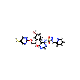 CSc1cnc(OCCOc2ncnc(NS(=O)(=O)NCc3ccccn3)c2-c2ccc(Br)cc2)nc1